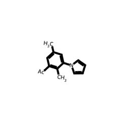 CC(=O)c1cc(C)cc(-n2cccc2)c1C